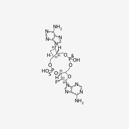 Nc1ncnc2c1ncn2[C@@H]1C[C@@H]2COP(O)(=S)O[C@@H]3C(COP(O)(=S)OC[C@H]21)O[C@@H](n1cnc2c(N)ncnc21)[C@H]3F